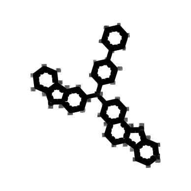 c1ccc(-c2ccc(N(c3ccc4c(ccc5c6ccncc6oc45)c3)c3ccc4oc5ccccc5c4c3)cc2)cc1